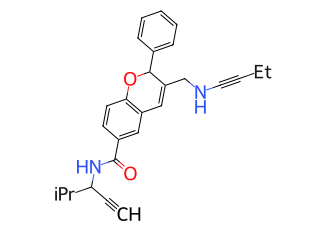 C#CC(NC(=O)c1ccc2c(c1)C=C(CNC#CCC)C(c1ccccc1)O2)C(C)C